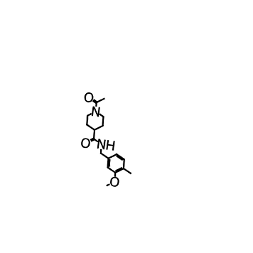 COc1cc(CNC(=O)C2CCN(C(C)=O)CC2)ccc1C